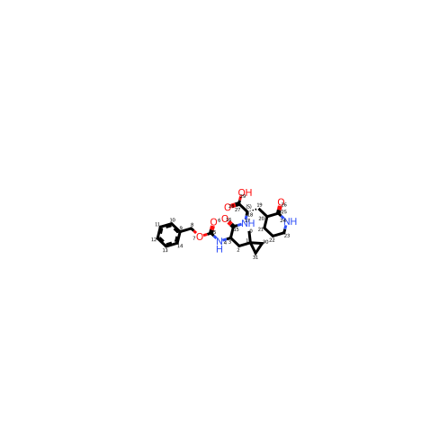 CC1(CC(NC(=O)OCc2ccccc2)C(=O)N[C@@H](CC2CCCNC2=O)C(=O)O)CC1